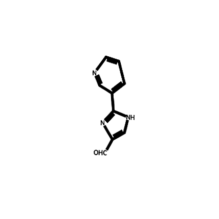 O=Cc1c[nH]c(-c2cccnc2)n1